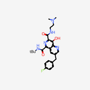 CN(C)CCNC(=O)c1nc(C(=O)NC(C)(C)C)c2cc(Cc3ccc(F)cc3)cnc2c1O